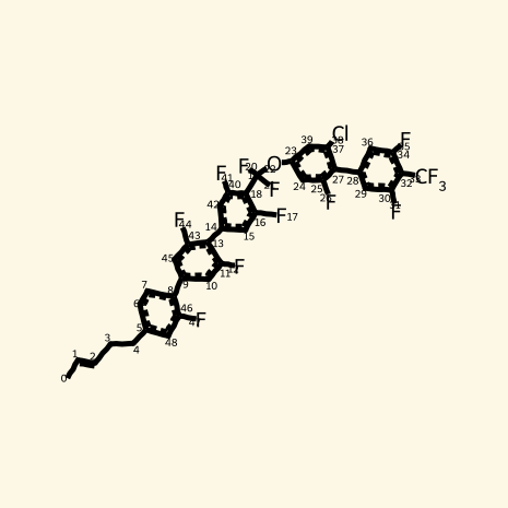 C/C=C/CCc1ccc(-c2cc(F)c(-c3cc(F)c(C(F)(F)Oc4cc(F)c(-c5cc(F)c(C(F)(F)F)c(F)c5)c(Cl)c4)c(F)c3)c(F)c2)c(F)c1